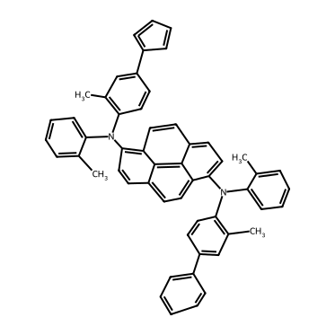 Cc1ccccc1N(c1ccc(C2=C=CC=C2)cc1C)c1ccc2ccc3c(N(c4ccccc4C)c4ccc(-c5ccccc5)cc4C)ccc4ccc1c2c43